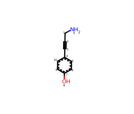 NCC#Cc1ccc(O)cc1